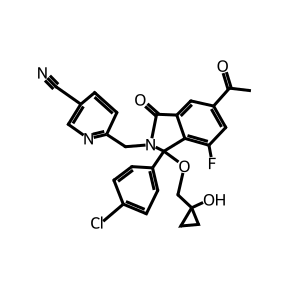 CC(=O)c1cc(F)c2c(c1)C(=O)N(Cc1ccc(C#N)cn1)C2(OCC1(O)CC1)c1ccc(Cl)cc1